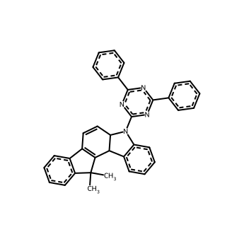 CC1(C)C2=C(C=CC3C2c2ccccc2N3c2nc(-c3ccccc3)nc(-c3ccccc3)n2)c2ccccc21